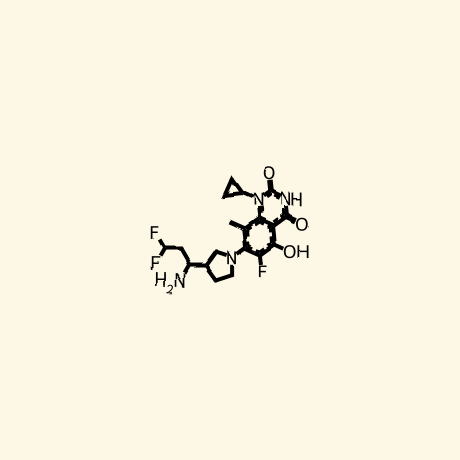 Cc1c(N2CCC(C(N)CC(F)F)C2)c(F)c(O)c2c(=O)[nH]c(=O)n(C3CC3)c12